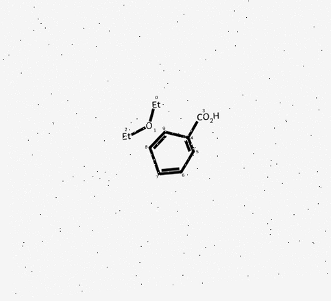 CCOCC.O=C(O)c1ccccc1